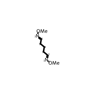 CO/N=C/CCC/C=N/OC